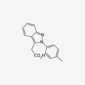 Cc1ccc(-n2nc3ccccc3c2CC(=O)O)cc1